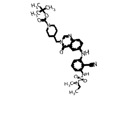 CCN(C)S(=O)(=O)Nc1cccc(Nc2ccc3ncn(CC4CCN(C(=O)OC(C)(C)C)CC4)c(=O)c3c2)c1C#N